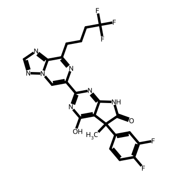 CC1(c2ccc(F)c(F)c2)C(=O)Nc2nc(-c3cn4ncnc4c(CCCC(F)(F)F)n3)nc(O)c21